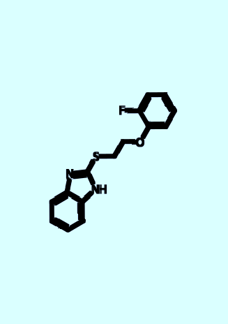 Fc1ccccc1OCCSc1nc2ccccc2[nH]1